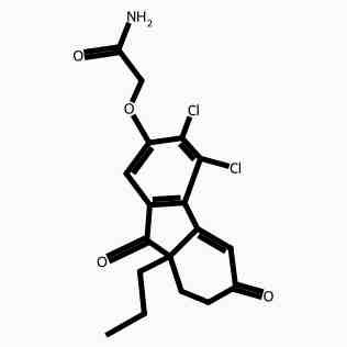 CCCC12CCC(=O)C=C1c1c(cc(OCC(N)=O)c(Cl)c1Cl)C2=O